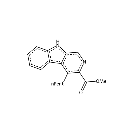 CCCCCc1c(C(=O)OC)ncc2[nH]c3ccccc3c12